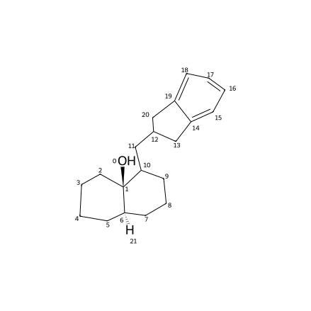 O[C@]12CCCC[C@@H]1CCCC2CC1Cc2ccccc2C1